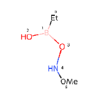 CCB(O)ONOC